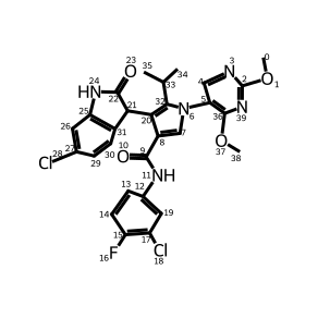 COc1ncc(-n2cc(C(=O)Nc3ccc(F)c(Cl)c3)c(C3C(=O)Nc4cc(Cl)ccc43)c2C(C)C)c(OC)n1